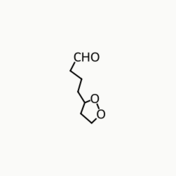 O=CCCCC1CCOO1